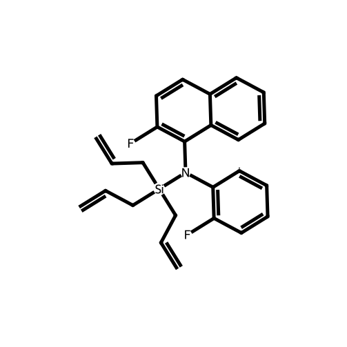 C=CC[Si](CC=C)(CC=C)N(c1[c]cccc1F)c1c(F)ccc2ccccc12